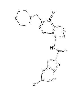 O=C(Nc1cccc2c(=O)n(CC3CCOCC3)ccc12)c1cc2cc(Cl)ccc2o1